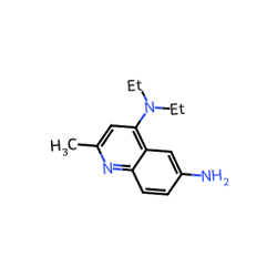 CCN(CC)c1cc(C)nc2ccc(N)cc12